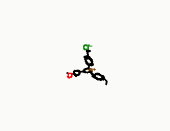 CCc1ccc(-c2cc(-c3ccc(OC)cc3)cc(-c3ccc(CC)cc3)[s+]2)cc1.[Cl-]